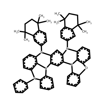 CC1(C)CCC(C)(C)c2cc(N3c4cc5c(cc4B4c6ccccc6Oc6cccc3c64)B3c4ccccc4N(c4ccccc4)c4cccc(c43)N5c3ccc4c(c3)C(C)(C)CCC4(C)C)ccc21